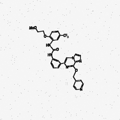 COCCOc1ccc(C(F)(F)F)cc1NC(=O)Nc1cccc(-c2cn3ccnc3c(OCc3ccncc3)n2)c1